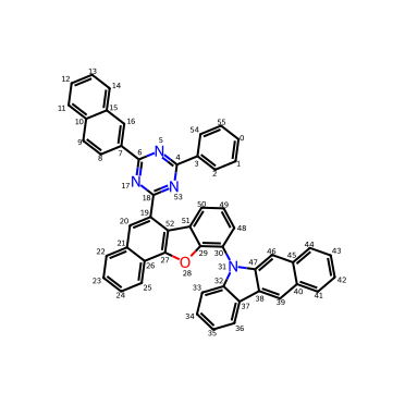 c1ccc(-c2nc(-c3ccc4ccccc4c3)nc(-c3cc4ccccc4c4oc5c(-n6c7ccccc7c7cc8ccccc8cc76)cccc5c34)n2)cc1